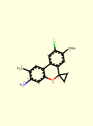 COc1cc2c(cc1Cl)-c1cc(C)c(N)cc1OC21CC1